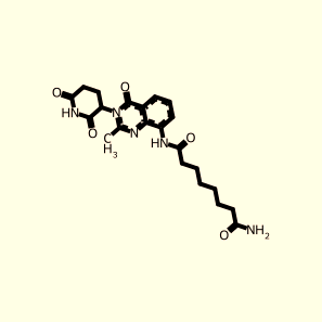 Cc1nc2c(NC(=O)CCCCCCC(N)=O)cccc2c(=O)n1C1CCC(=O)NC1=O